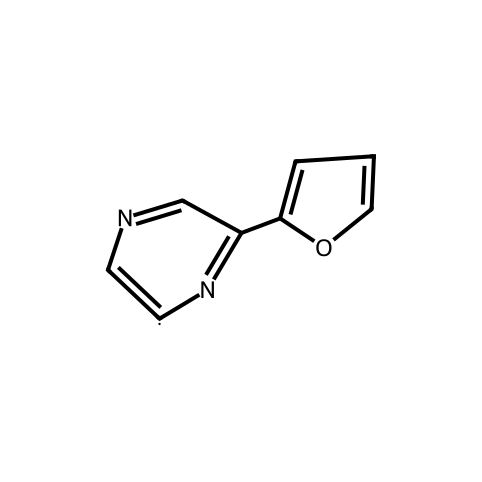 [c]1cncc(-c2ccco2)n1